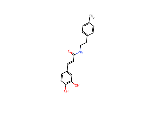 Cc1ccc(CCNC(=O)C=Cc2ccc(O)c(O)c2)cc1